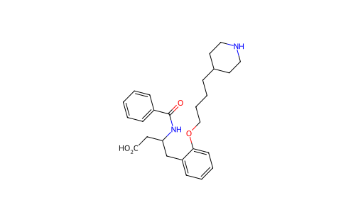 O=C(O)CC(Cc1ccccc1OCCCCC1CCNCC1)NC(=O)c1ccccc1